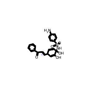 Nc1ccc(S(=O)(=O)NC2(O)C=CC(/C=C/C(=O)c3ccccc3)C=C2O)cc1